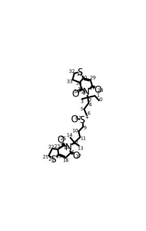 CCC(C)(CCC[S+]([O-])CCCC(C)(C)N1C(=O)C=C2SCCC2C1=O)N1C(=O)C=C2SCCC2C1=O